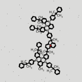 Cc1cc2c3c(c1)N(c1ccc(C(C)(C)c4ccccc4)cc1)c1ccc(C(C)(C)c4ccc(CC(C)(c5ccccc5)c5ccc(N6c7ccc(C(C)(C)c8ccccc8)cc7B7c8cc(C(C)(C)c9ccccc9)ccc8N(c8ccc(C(C)(C)c9ccccc9)cc8)c8cccc6c87)cc5)cc4)cc1B3c1cc(C(C)(C)c3ccccc3)ccc1N2c1ccc(C(C)(C)c2ccccc2)cc1